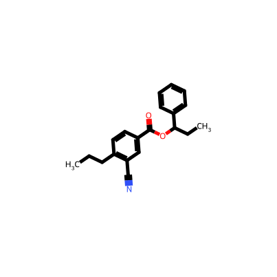 CCCc1ccc(C(=O)OC(CC)c2ccccc2)cc1C#N